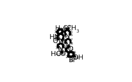 CC1(C)CCN(C2CCN(C(=O)C(Cc3ccc(O)c(Br)c3)[C@H]3CC(N4CCc5ccccc5NC4=O)CCN3C(=O)O)CC2)CC1